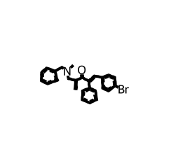 C=C(CN(C)Cc1ccccc1)C(=O)/C(=C/c1ccc(Br)cc1)c1ccccc1